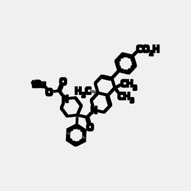 CC(C)(C)OC(=O)N1CCC(C(=O)N2CC=C3C(C)(C)C(c4ccc(C(=O)O)cc4)=CC[C@]3(C)C2)(c2ccccc2)CC1